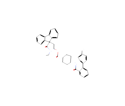 O=C(N[C@H]1CC[C@@H](C(=O)OCCC2(C(=O)NCC(F)(F)F)c3ccccc3-c3ccccc32)CC1)c1ccccc1-c1ccc(C(F)(F)F)cc1